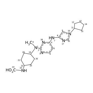 CN(c1nccc(Nc2cn(C3CCCC3)cn2)n1)C1CCC(NC(=O)O)CC1